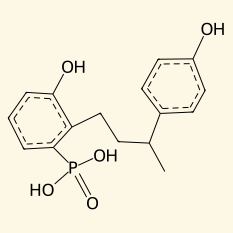 CC(CCc1c(O)cccc1P(=O)(O)O)c1ccc(O)cc1